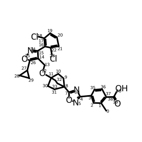 Cc1cc(-c2noc(C34CCC(OCc5c(-c6c(Cl)cccc6Cl)noc5C5CC5)(CC3)CC4)n2)ccc1C(=O)O